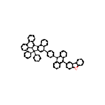 c1ccc(C2(c3ccccc3)c3cc(-c4ccc(-c5c6ccccc6c(-c6ccc7oc8ccccc8c7c6)c6ccccc56)cc4)c4ccccc4c3-c3c2c2ccccc2c2ccccc32)cc1